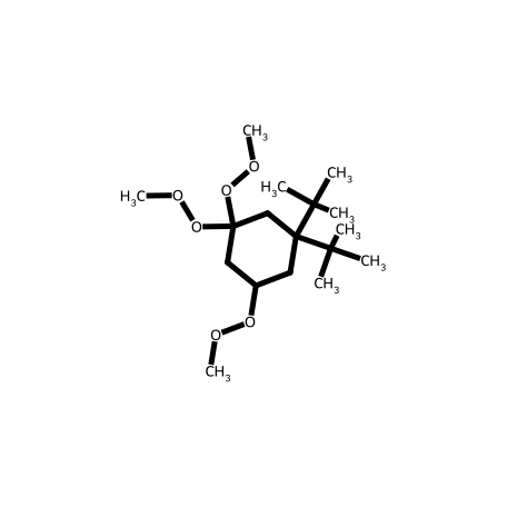 COOC1CC(OOC)(OOC)CC(C(C)(C)C)(C(C)(C)C)C1